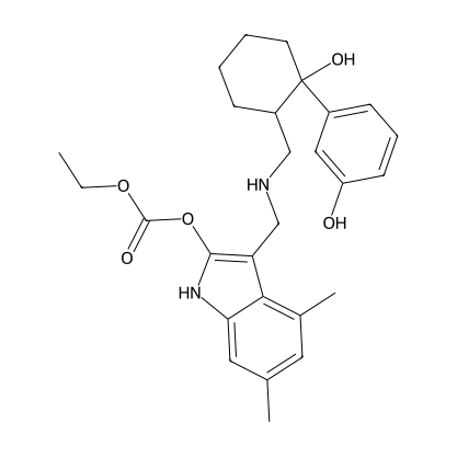 CCOC(=O)Oc1[nH]c2cc(C)cc(C)c2c1CNCC1CCCCC1(O)c1cccc(O)c1